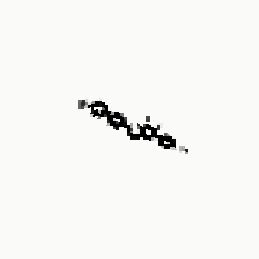 CCCc1ccc(-c2cc3c(c(F)c2F)OC(c2ccc(C4CCC(CC)CC4)cc2)CC3)cc1